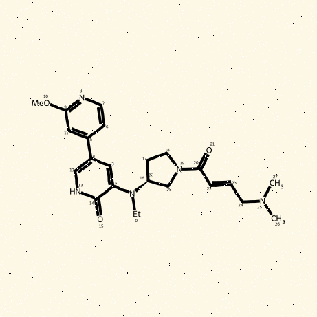 CCN(c1cc(-c2ccnc(OC)c2)c[nH]c1=O)[C@H]1CCN(C(=O)C=CCN(C)C)C1